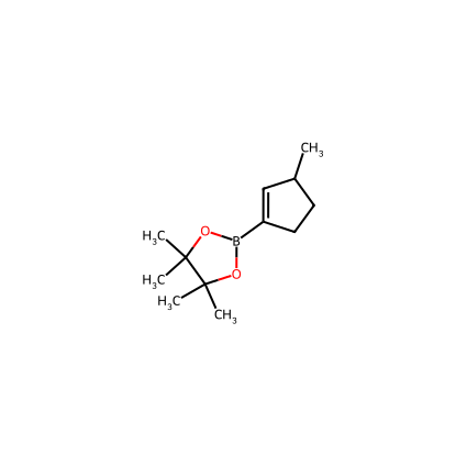 CC1C=C(B2OC(C)(C)C(C)(C)O2)CC1